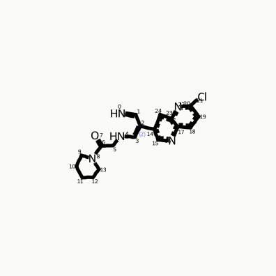 N=C/C(=C\NCC(=O)N1CCCCC1)c1cnc2ccc(Cl)nc2c1